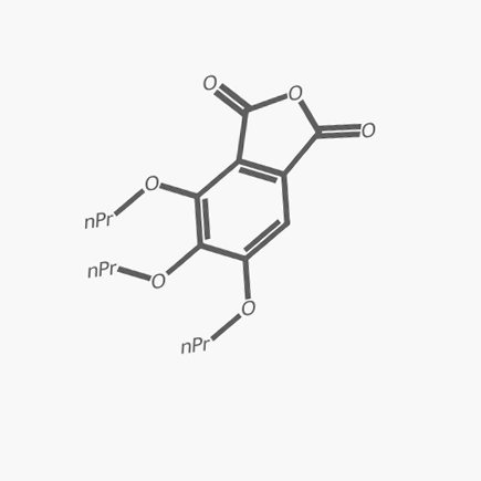 CCCOc1cc2c(c(OCCC)c1OCCC)C(=O)OC2=O